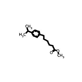 COC(=O)CCCCCc1ccc(C(C)C)cc1